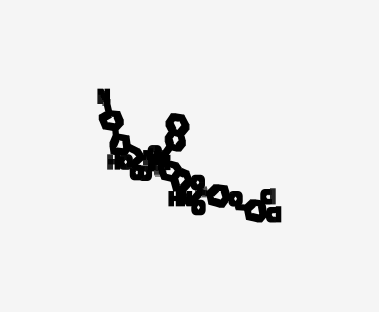 N#Cc1ccc(-c2cccc(CC(NC(=O)[C@@H]3Cc4cc5c(cc4CN3C(=O)c3ccc4ccccc4c3)O[C@@H](c3ccc(OCc4ccc(Cl)c(Cl)c4)cc3)C(=O)N5)C(=O)O)c2)cc1